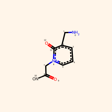 NCc1cccn(CC(=O)N=O)c1=O